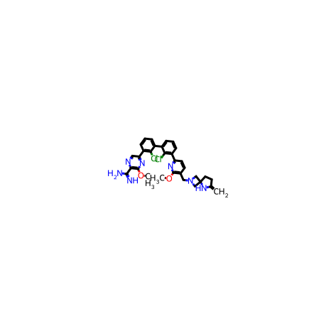 C=C1CCC2(CN(Cc3ccc(-c4cccc(-c5cccc(-c6cnc(C(=N)N)c(OC)n6)c5Cl)c4Cl)nc3OC)C2)N1